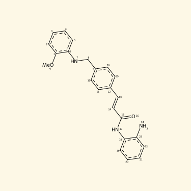 COc1ccccc1NCc1ccc(C=CC(=O)Nc2ccccc2N)cc1